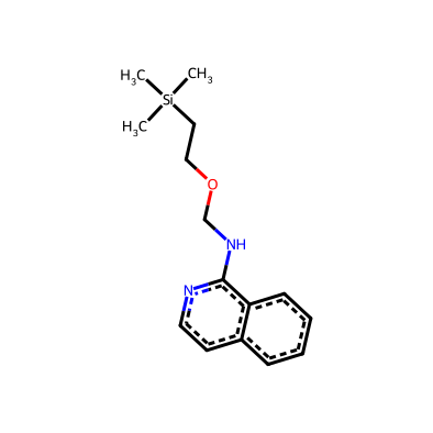 C[Si](C)(C)CCOCNc1nccc2ccccc12